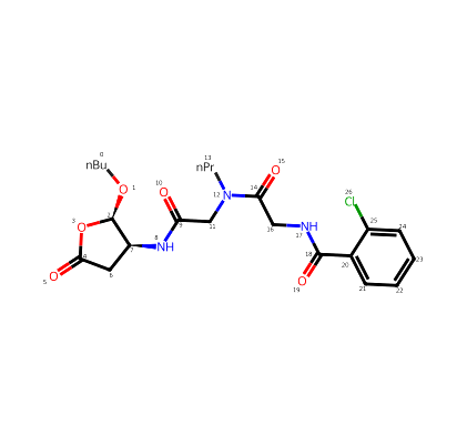 CCCCO[C@@H]1OC(=O)C[C@@H]1NC(=O)CN(CCC)C(=O)CNC(=O)c1ccccc1Cl